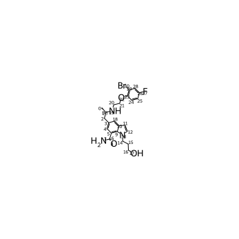 C[C@H](Cc1cc(C(N)=O)c2c(ccn2CCCO)c1)NCCOc1ccc(F)cc1Br